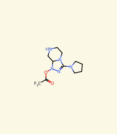 O=C(ON1N=C(N2CCCC2)N2CCNCC12)C(F)(F)F